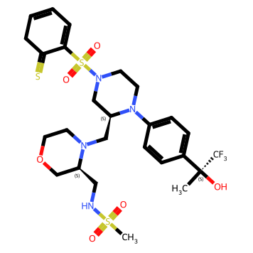 C[C@](O)(c1ccc(N2CCN(S(=O)(=O)C3=CC=CCC3=S)C[C@@H]2CN2CCOC[C@@H]2CNS(C)(=O)=O)cc1)C(F)(F)F